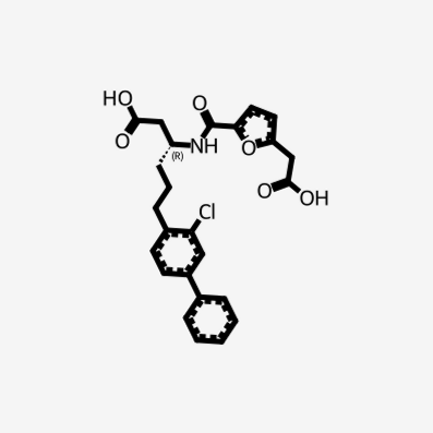 O=C(O)Cc1ccc(C(=O)N[C@H](CCCc2ccc(-c3ccccc3)cc2Cl)CC(=O)O)o1